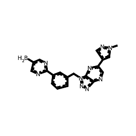 Bc1cnc(-c2cccc(Cn3nnc4ncc(-c5cnn(C)c5)nc43)c2)nc1